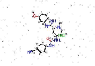 COc1ccc2[nH]c([C@H]3C[C@H](NC(=O)Nc4ccc(C#N)cc4)CCN3C)nc2c1.Cl